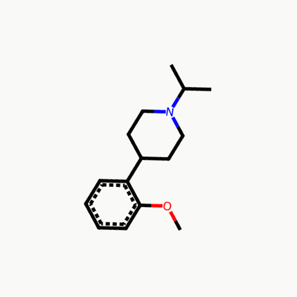 COc1ccccc1C1CCN(C(C)C)CC1